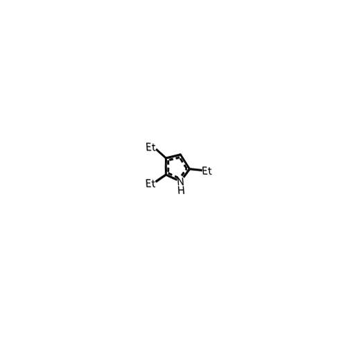 CCc1cc(CC)c(CC)[nH]1